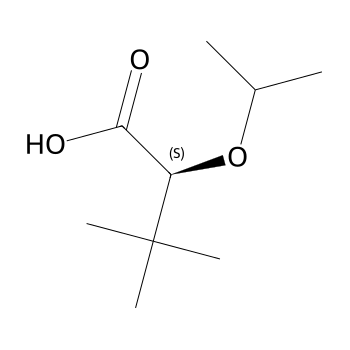 CC(C)O[C@H](C(=O)O)C(C)(C)C